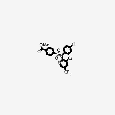 COC(=O)c1ccc(S(=O)(=O)N(c2ccc(Cl)cc2)c2ncc(C(F)(F)F)cc2Cl)cc1